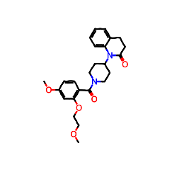 COCCOc1cc(OC)ccc1C(=O)N1CCC(N2C(=O)CCc3ccccc32)CC1